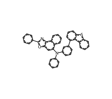 c1ccc(-c2nc3c(cc(N(c4ccccc4)c4cccc(-c5cccc6sc7ccccc7c56)c4)c4ccccc43)o2)cc1